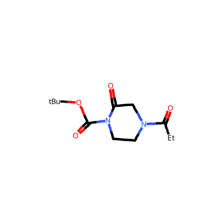 CCC(=O)N1CCN(C(=O)OC(C)(C)C)C(=O)C1